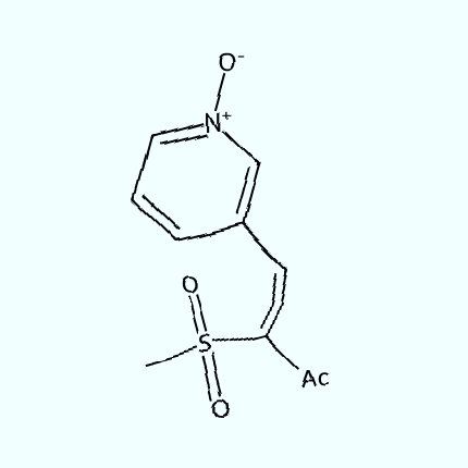 CC(=O)C(=Cc1ccc[n+]([O-])c1)S(C)(=O)=O